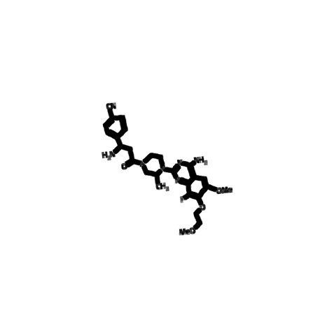 COCCOc1c(OC)cc2c(N)nc(N3CCN(C(=O)CC(N)c4ccc(C#N)cc4)CC3C)nc2c1F